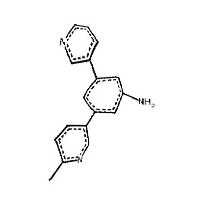 Cc1ccc(-c2cc(N)cc(-c3cccnc3)c2)cn1